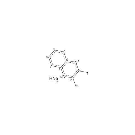 Cc1nc2ccccc2nc1C.[NaH]